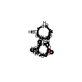 CC1=CC(O)CC(=O)Cc2nc(co2)C(=O)N2CCC=C2C(=O)OC(C(C)C)C(C)C=CC(=O)NCC=C1.CCC1NC(=O)C(NC(=O)c2ncccc2O)C(C)OC(=O)C(c2ccccc2)NC(=O)C2CC(=O)CCN2C(=O)C(Cc2ccccc2)N(C)C(=O)C2CCCN2C1=O.Cl